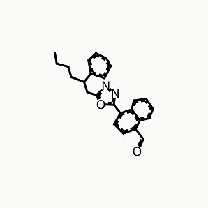 CCCCC(Cc1nnc(-c2ccc(C=O)c3ccccc23)o1)c1ccccc1